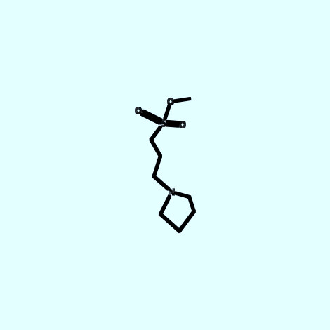 COS(=O)(=O)CCCN1CCCC1